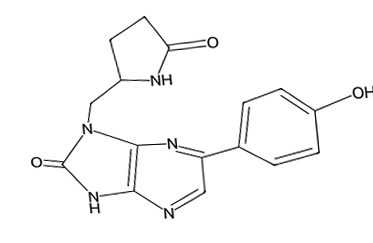 O=C1CCC(Cn2c(=O)[nH]c3ncc(-c4ccc(O)cc4)nc32)N1